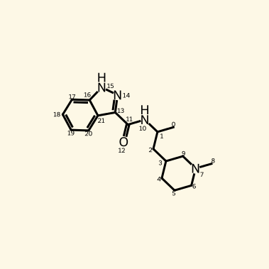 CC(CC1CCCN(C)C1)NC(=O)c1n[nH]c2ccccc12